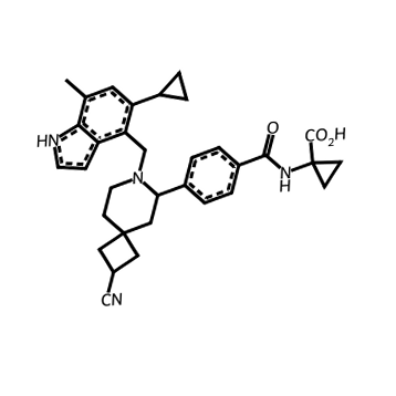 Cc1cc(C2CC2)c(CN2CCC3(CC(C#N)C3)CC2c2ccc(C(=O)NC3(C(=O)O)CC3)cc2)c2cc[nH]c12